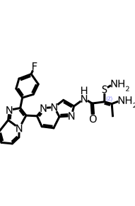 C/C(N)=C(/SN)C(=O)Nc1cn2nc(-c3c(-c4ccc(F)cc4)nc4ccccn34)ccc2n1